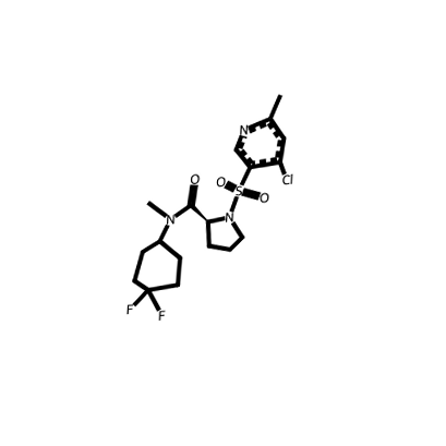 Cc1cc(Cl)c(S(=O)(=O)N2CCC[C@H]2C(=O)N(C)C2CCC(F)(F)CC2)cn1